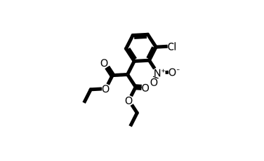 CCOC(=O)C(C(=O)OCC)c1cccc(Cl)c1[N+](=O)[O-]